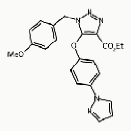 CCOC(=O)c1nnn(Cc2ccc(OC)cc2)c1Oc1ccc(-n2cccn2)cc1